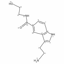 NCCc1c[nH]c2ccc(C(=O)NCCO)cc12